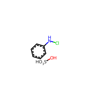 ClNc1ccccc1.O=S(=O)(O)O